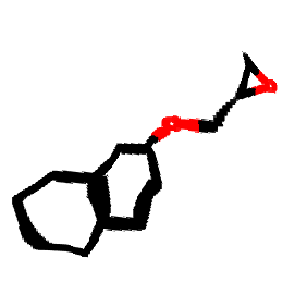 c1cc2c(cc1OC[C@@H]1CO1)CCCC2